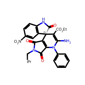 CCOC(=O)C1=C(N)N(c2ccccc2)C2=C(C(=O)N(CC(C)C)C2=O)[C@]12C(=O)Nc1ccc([N+](=O)[O-])cc12